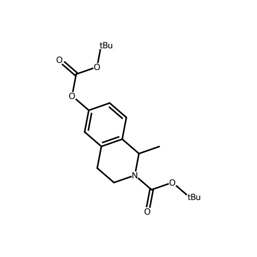 CC1c2ccc(OC(=O)OC(C)(C)C)cc2CCN1C(=O)OC(C)(C)C